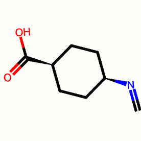 C=N[C@H]1CC[C@@H](C(=O)O)CC1